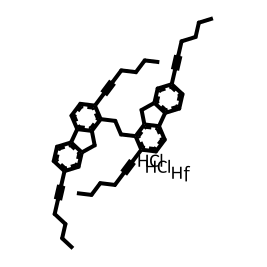 CCCCC#Cc1ccc2c(c1)Cc1c-2ccc(C#CCCCC)c1CCc1c(C#CCCCC)ccc2c1Cc1cc(C#CCCCC)ccc1-2.Cl.Cl.[Hf]